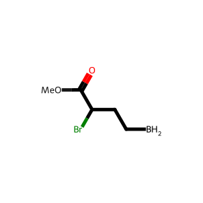 BCCC(Br)C(=O)OC